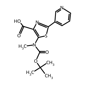 CN(C(=O)OC(C)(C)C)c1sc(-c2cccnc2)nc1C(=O)O